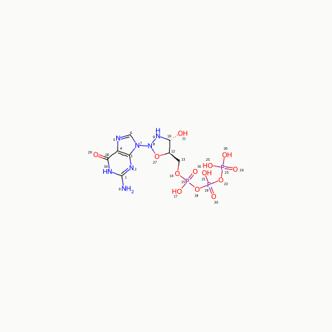 Nc1nc2c(ncn2N2N[C@H](O)[C@@H](COP(=O)(O)OP(=O)(O)OP(=O)(O)O)O2)c(=O)[nH]1